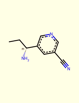 CC[C@@H](N)c1cncc(C#N)c1